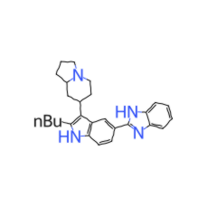 CCCCc1[nH]c2ccc(-c3nc4ccccc4[nH]3)cc2c1C1CCN2CCCC2C1